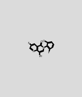 CC(C)c1cn(-c2c(F)cccc2Cl)c(=O)c2cc(F)cnc12